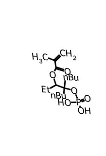 C=C(C)C(=O)OC(CC)C(CCCC)(CCCC)OP(=O)(O)O